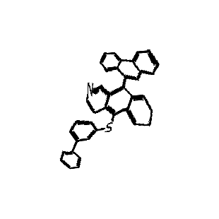 C1=c2c(Sc3cccc(-c4ccccc4)c3)c3ccncc3c(-c3cc4ccccc4c4ccccc34)c2=CCC1